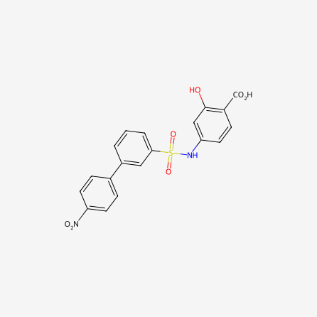 O=C(O)c1ccc(NS(=O)(=O)c2cccc(-c3ccc([N+](=O)[O-])cc3)c2)cc1O